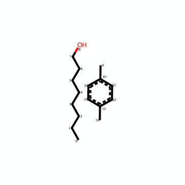 CCCCCCCCO.Cc1ccc(C)cc1